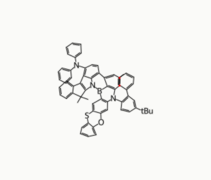 Cc1cc2c3c(c1)N(c1ccc(C(C)(C)C)cc1-c1ccccc1)c1cc4c(cc1B3n1c3c(c5c(N(c6ccccc6)c6ccccc6)ccc-2c51)-c1ccccc1C3(C)C)Sc1ccccc1O4